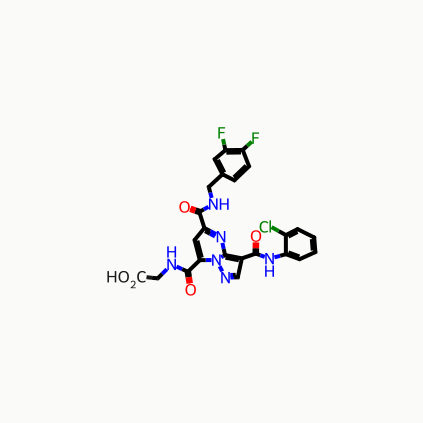 O=C(O)CNC(=O)c1cc(C(=O)NCc2ccc(F)c(F)c2)nc2c(C(=O)Nc3ccccc3Cl)cnn12